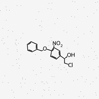 O=[N+]([O-])c1cc([C@@H](O)CCl)ccc1OCc1ccccc1